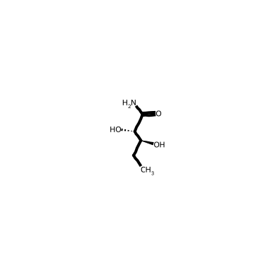 CC[C@H](O)[C@H](O)C(N)=O